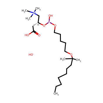 CCCCCCCC(C)(C)OCCCCCOP(O)O[C@H](CC(=O)O)C[N+](C)(C)C.[OH-]